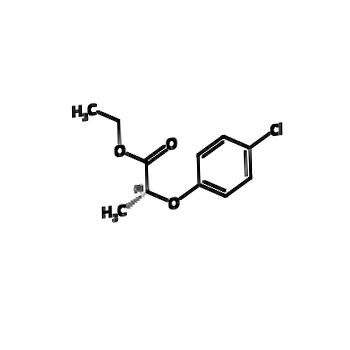 CCOC(=O)[C@@H](C)Oc1ccc(Cl)cc1